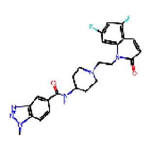 Cn1nnc2cc(C(=O)NC3CCN(CCn4c(=O)ccc5c(F)cc(F)cc54)CC3)ccc21